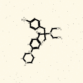 CCN(CC)C(CC)(Cc1ccc(C)cc1)C(=O)c1ccc(N2CCOCC2)cc1